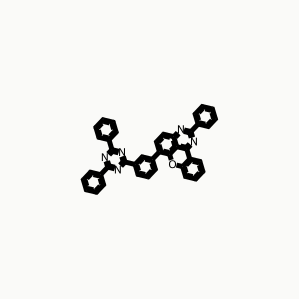 c1ccc(-c2nc(-c3ccccc3)nc(-c3cccc(-c4ccc5nc(-c6ccccc6)nc6c5c4Oc4ccccc4-6)c3)n2)cc1